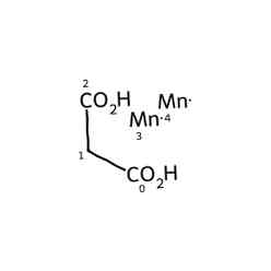 O=C(O)CC(=O)O.[Mn].[Mn]